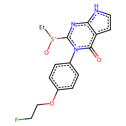 CC[S+]([O-])c1nc2[nH]ccc2c(=O)n1-c1ccc(OCCF)cc1